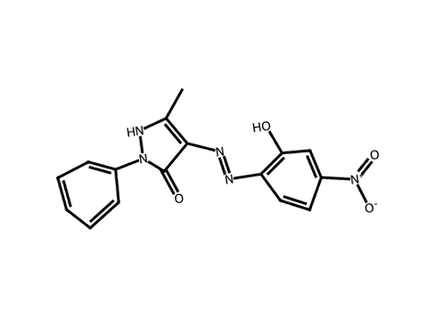 Cc1[nH]n(-c2ccccc2)c(=O)c1N=Nc1ccc([N+](=O)[O-])cc1O